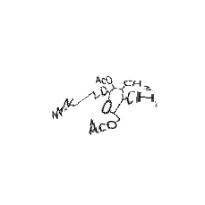 CC(=O)OCC1O[C@@H](OCCCN=[N+]=[N-])C(OC(C)=O)[C@@H](C)[C@H]1C